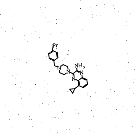 CC(C)c1ccc(CN2CCN(c3nc4c(C5CC5)cccc4nc3N)CC2)cc1